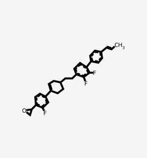 C/C=C/c1ccc(-c2ccc(CCC3CC=C(c4ccc(C5CO5)c(F)c4)CC3)c(F)c2F)cc1